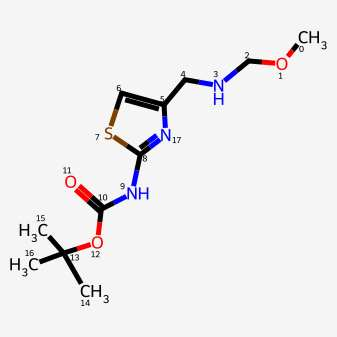 COCNCc1csc(NC(=O)OC(C)(C)C)n1